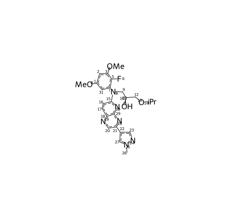 COc1cc(OC)c(F)c(N(C[C@H](O)COC(C)C)c2ccc3ncc(-c4cnn(C)c4)nc3n2)c1